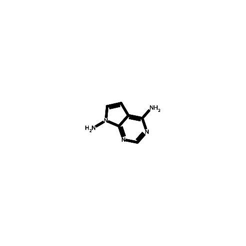 Nc1ncnc2c1ccn2N